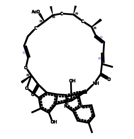 CC(=O)O[C@@H]1CC/C=C/O[C@@]2(C)Oc3c(C)c(O)c4c(O)c(c5c(nc6cc(C)ccn65)c4c3C2=O)NC(=O)/C(C)=C/C=C/[C@H](C)C[C@@H](C)C[C@H]1C